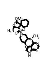 COC(=O)C1(C(C(N)=O)S(=O)(=O)N2CCC(C)C(N(C)c3ncnc4[nH]ccc34)C2)CCCCC1